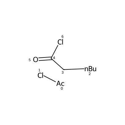 CC(=O)Cl.CCCCCC(=O)Cl